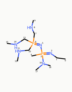 CCN=P(C)(N=P(CNC)(CNC)CNC)N(C)C